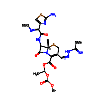 CNC(=N)N/N=C\C1=C(C(=O)OC(C)OC(=O)OC(C)C)N2C(=O)C(NC(=O)C(=NOC)c3csc(N)n3)[C@@H]2SC1